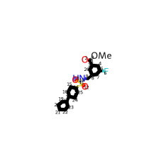 COC(=O)c1cc(F)cc(CNS(=O)(=O)c2ccc(-c3ccccc3)cc2)c1